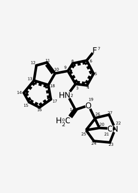 C=C(Nc1ccc(F)cc1C1=CCc2ccccc21)OC1CN2CCC1CC2